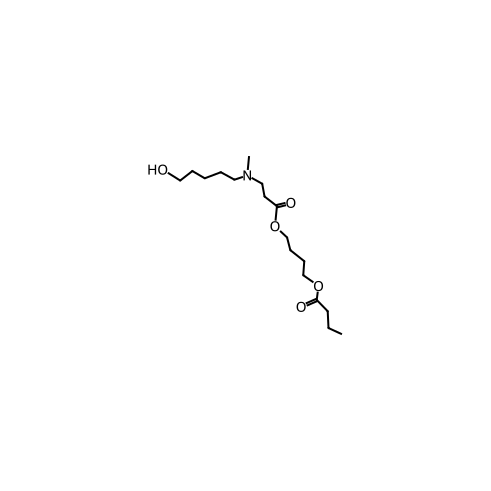 CCCC(=O)OCCCCOC(=O)CCN(C)CCCCCO